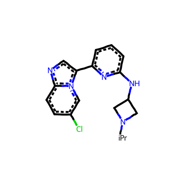 CC(C)N1CC(Nc2cccc(-c3cnc4ccc(Cl)cn34)n2)C1